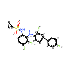 O=S(=O)(Nc1ccc(F)c(F)c1Nc1ccc(-c2ccc(F)cc2)cc1F)C1CC1